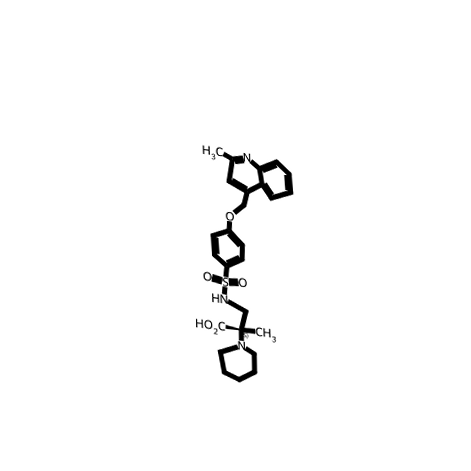 Cc1cc(COc2ccc(S(=O)(=O)NC[C@@](C)(C(=O)O)N3CCCCC3)cc2)c2ccccc2n1